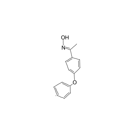 CC(=NO)c1ccc(Oc2cc[c]cc2)cc1